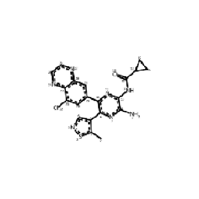 Cc1sncc1-c1nc(N)c(NC(=O)C2CC2)nc1-c1cc(Cl)c2nccnc2c1